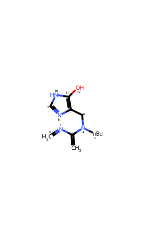 C=NC(=C)N(CCCC)Cc1nc[nH]c1O